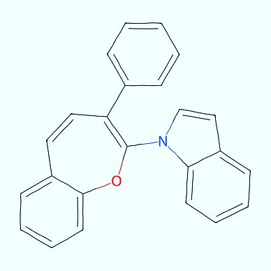 C1=Cc2ccccc2OC(n2ccc3ccccc32)=C1c1ccccc1